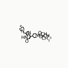 CC(C)(C)OC(=O)N1CCC(c2cc(=O)[nH]c3c(CN4CCSCC4)cnn23)CC1